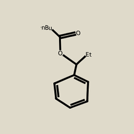 CCC[CH]C(=O)OC(CC)c1ccccc1